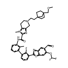 COCC12CCC(CCN3CCc4c(nc(C(=O)Nc5cccc(-c6cccc(-c7nc8cc(C=O)c(OC(F)F)cc8o7)c6F)c5C)n4C)C3)(CC1)C2